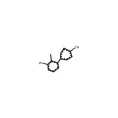 Cc1c(-c2ccc(C#N)cc2)cccc1C(C)C